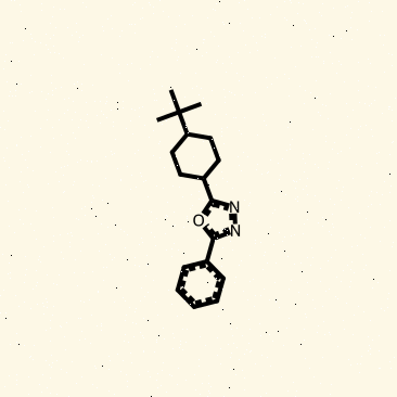 CC(C)(C)C1CCC(c2nnc(-c3ccccc3)o2)CC1